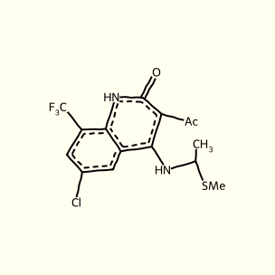 CSC(C)Nc1c(C(C)=O)c(=O)[nH]c2c(C(F)(F)F)cc(Cl)cc12